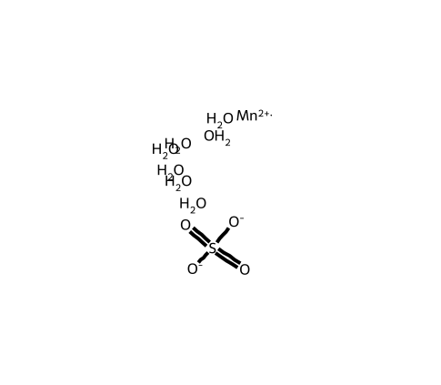 O.O.O.O.O.O.O.O=S(=O)([O-])[O-].[Mn+2]